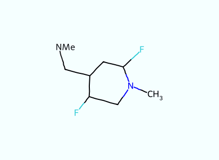 CNCC1CC(F)N(C)CC1F